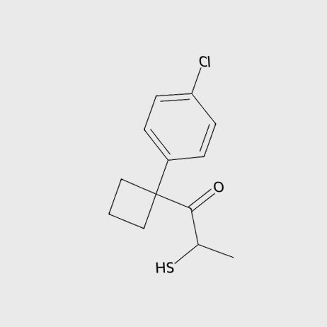 CC(S)C(=O)C1(c2ccc(Cl)cc2)CCC1